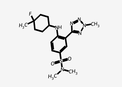 CN(C)S(=O)(=O)c1ccc(NC2CCC(C)(F)CC2)c(-c2nnn(C)n2)c1